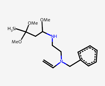 C=CN(CCNC(CC([SiH3])(OC)OC)OC)Cc1ccccc1